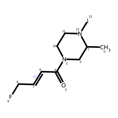 CC1CN(C(=O)/C=C/CF)CCN1I